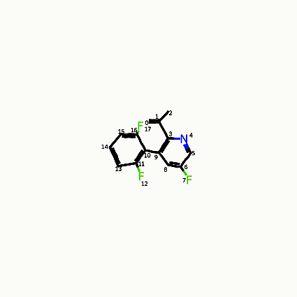 C=C(C)c1ncc(F)cc1-c1c(F)cccc1F